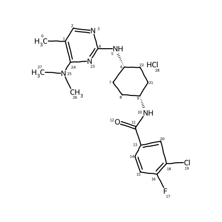 Cc1cnc(N[C@H]2CC[C@@H](NC(=O)c3ccc(F)c(Cl)c3)CC2)nc1N(C)C.Cl